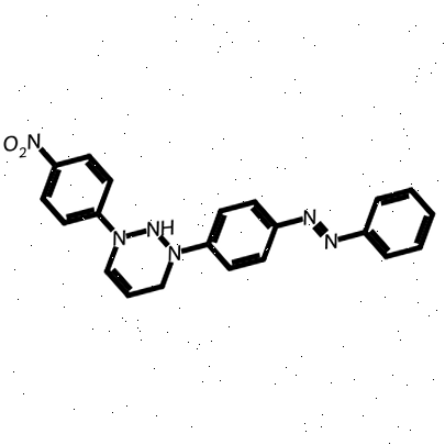 O=[N+]([O-])c1ccc(N2C=CCN(c3ccc(N=Nc4ccccc4)cc3)N2)cc1